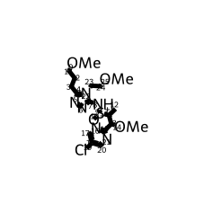 COCCCc1nnc(N[S+]([O-])C(C)C(OC)c2ncc(Cl)cn2)n1CCOC